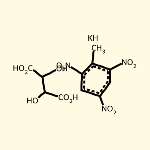 Cc1c([N+](=O)[O-])cc([N+](=O)[O-])cc1[N+](=O)[O-].O=C(O)C(O)C(O)C(=O)O.[KH]